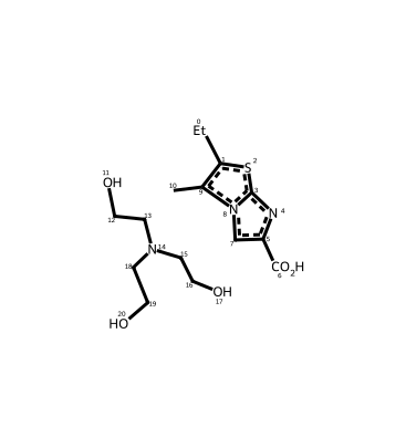 CCc1sc2nc(C(=O)O)cn2c1C.OCCN(CCO)CCO